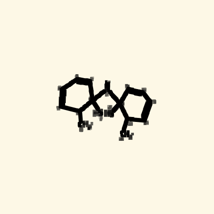 [CH2]C1C=CC=CC1(S)NC1(S)C=CC=CC1[CH2]